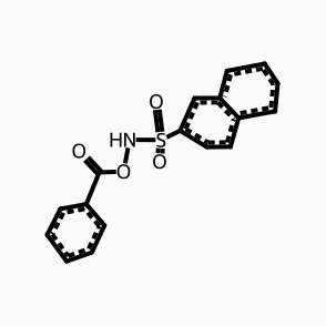 O=C(ONS(=O)(=O)c1ccc2ccccc2c1)c1ccccc1